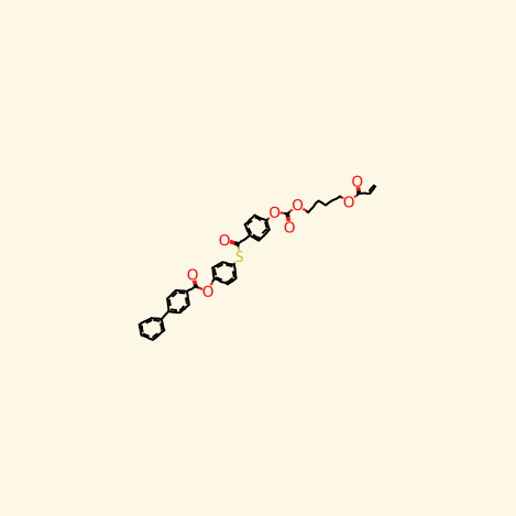 C=CC(=O)OCCCCOC(=O)Oc1ccc(C(=O)Sc2ccc(OC(=O)c3ccc(-c4ccccc4)cc3)cc2)cc1